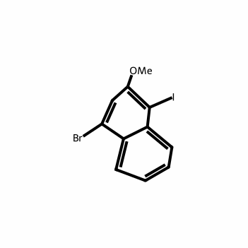 COc1cc(Br)c2ccccc2c1I